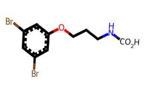 O=C(O)NCCCOc1cc(Br)cc(Br)c1